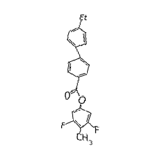 CCc1ccc(-c2ccc(C(=O)Oc3cc(F)c(C)c(F)c3)cc2)cc1